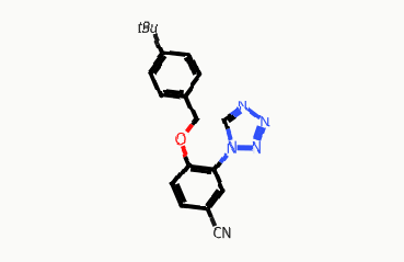 CC(C)(C)c1ccc(COc2ccc(C#N)cc2-n2cnnn2)cc1